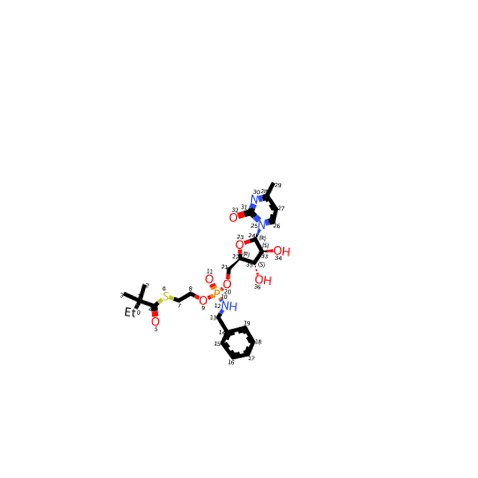 CCC(C)(C)C(=O)SCCOP(=O)(NCc1ccccc1)OC[C@H]1O[C@@H](n2ccc(C)nc2=O)[C@@H](O)[C@@H]1O